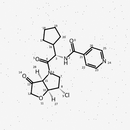 O=C(N[C@H](C(=O)N1C[C@H](Cl)[C@H]2OCC(=O)[C@H]21)C1CCCC1)c1ccncc1